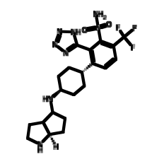 NS(=O)(=O)c1c(C(F)(F)F)ccc([C@H]2CC[C@H](NC3CC[C@H]4NCCC34)CC2)c1-c1nnn[nH]1